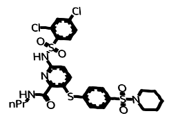 CCCNC(=O)c1nc(NS(=O)(=O)c2ccc(Cl)cc2Cl)ccc1Sc1ccc(S(=O)(=O)N2CCCCC2)cc1